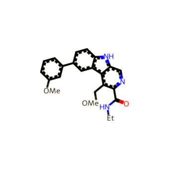 CCNC(=O)c1ncc2[nH]c3ccc(-c4cccc(OC)c4)cc3c2c1COC